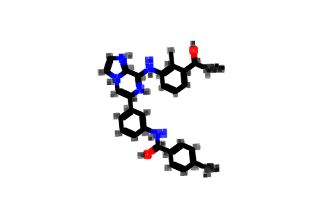 CNC(=O)c1cccc(Nc2nc(-c3cccc(NC(=O)c4ccc(C(C)(C)C)cc4)c3)cn3ccnc23)c1C